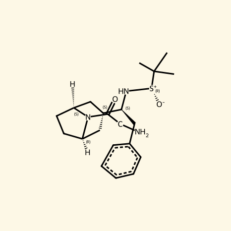 CC(C)(C)[S@+]([O-])N[C@@H](Cc1ccccc1)[C@@H]1C[C@H]2CC[C@@H](C1)N2C(=O)CN